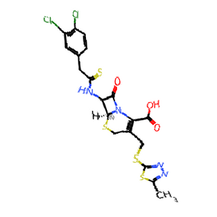 Cc1nnc(SCC2=C(C(=O)O)N3C(=O)C(NC(=S)Cc4ccc(Cl)c(Cl)c4)[C@@H]3SC2)s1